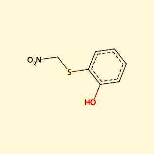 O=[N+]([O-])CSc1ccccc1O